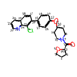 O=C([C@H]1CCCO1)N1CCC(Oc2ccc(-c3ccc4cccnc4c3Cl)cc2)CC1